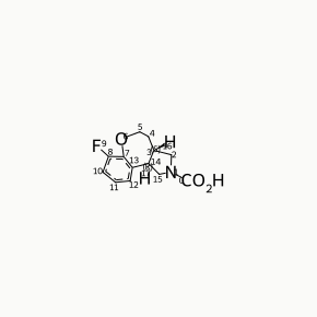 O=C(O)N1C[C@H]2CCOc3c(F)cccc3[C@@H]2C1